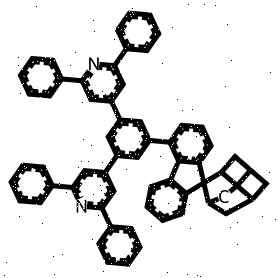 c1ccc(-c2cc(-c3cc(-c4cc(-c5ccccc5)nc(-c5ccccc5)c4)cc(-c4cccc5c4-c4ccccc4C54C5CC6CC7CC4C67C5)c3)cc(-c3ccccc3)n2)cc1